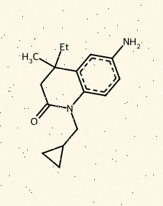 CCC1(C)CC(=O)N(CC2CC2)c2ccc(N)cc21